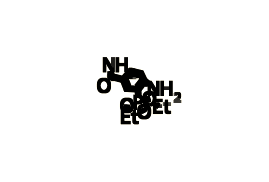 CCOP(=O)(OCC)c1cc(C(N)=O)ccc1N